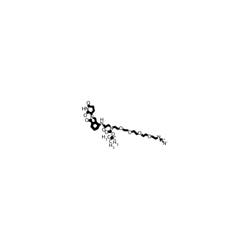 CC(C)(C)OC(=O)N(CCOCCOCCOCCOCCN=[N+]=[N-])CC(=O)Nc1cccc2c1CN(C1CCC(=O)NC1=O)C2=O